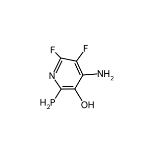 Nc1c(O)c(P)nc(F)c1F